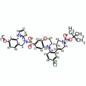 COc1ccc(CN(c2nccs2)S(=O)(=O)c2ccc3c(c2)OCCN3c2ccc(Cl)cc2C2=CCN(C(=O)OC(C)(C)C)CC2)cc1